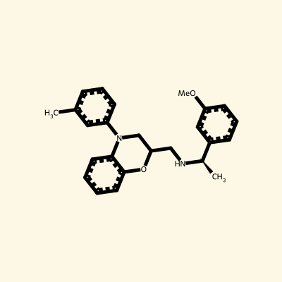 COc1cccc([C@@H](C)NCC2CN(c3cccc(C)c3)c3ccccc3O2)c1